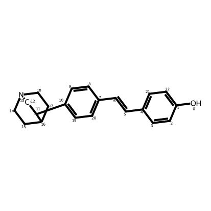 Oc1ccc(C=Cc2ccc([C]3[CH]N4CCC3CC4)cc2)cc1